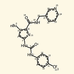 CCCCn1cc(NC(=O)Nc2ccc(C(F)(F)F)cc2)nc1C(=O)NCc1cccnc1